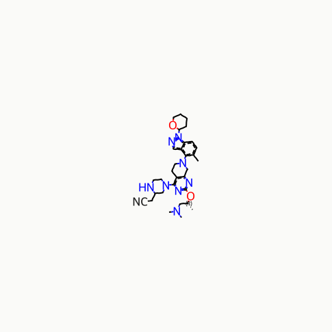 Cc1ccc2c(cnn2C2CCCCO2)c1N1CCc2c(nc(O[C@H](C)CN(C)C)nc2N2CCNC(CC#N)C2)C1